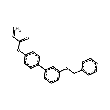 C=CC(=O)Oc1ccc(-c2cccc(SCc3ccccc3)c2)cc1